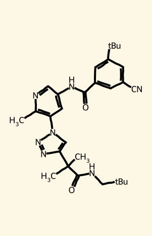 Cc1ncc(NC(=O)c2cc(C#N)cc(C(C)(C)C)c2)cc1-n1cc(C(C)(C)C(=O)NCC(C)(C)C)nn1